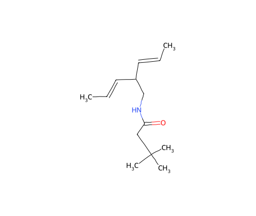 CC=CC(C=CC)CNC(=O)CC(C)(C)C